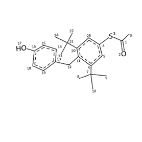 CC(=O)Sc1cc(C(C)(C)C)c(Cc2ccc(O)cc2)c(C(C)(C)C)c1